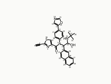 C#Cc1nc(C(=O)N(c2ccc(-c3cnco3)cc2)C(c2ccc3ccccc3c2)C(O)NC(C)(C)C)cs1